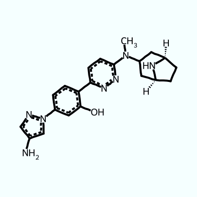 CN(c1ccc(-c2ccc(-n3cc(N)cn3)cc2O)nn1)C1C[C@H]2CC[C@@H](C1)N2